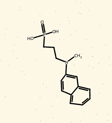 CN(CCCP(=O)(O)O)c1ccc2ccccc2c1